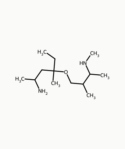 CCC(C)(CC(C)N)OCC(C)C(C)NC